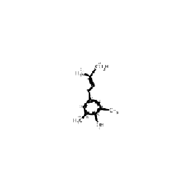 C/C(=C\Cc1cc(C)c(O)c(C)c1)C(=O)O